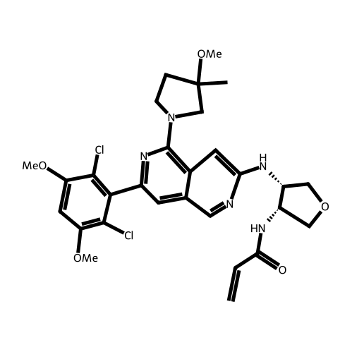 C=CC(=O)N[C@H]1COC[C@H]1Nc1cc2c(N3CCC(C)(OC)C3)nc(-c3c(Cl)c(OC)cc(OC)c3Cl)cc2cn1